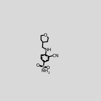 N#Cc1cc(S(N)(=O)=O)ccc1NCC1CCOCC1